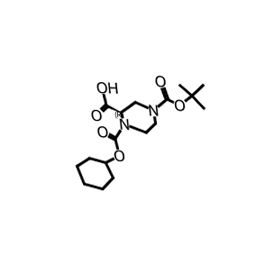 CC(C)(C)OC(=O)N1CCN(C(=O)OC2CCCCC2)[C@@H](C(=O)O)C1